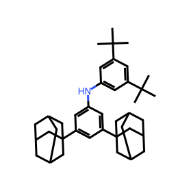 CC(C)(C)c1cc(Nc2cc(C34CC5CC(CC(C5)C3)C4)cc(C34CC5CC(CC(C5)C3)C4)c2)cc(C(C)(C)C)c1